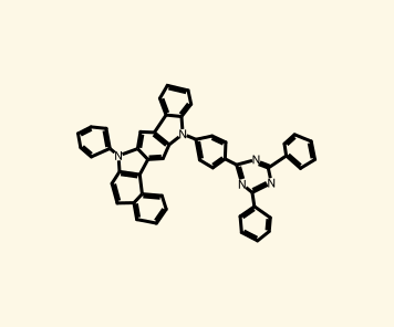 c1ccc(-c2nc(-c3ccccc3)nc(-c3ccc(-n4c5ccccc5c5cc6c(cc54)c4c5ccccc5ccc4n6-c4ccccc4)cc3)n2)cc1